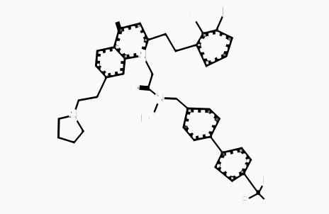 CN(Cc1ccc(-c2ccc(C(F)(F)F)cc2)cc1)C(=O)Cn1c(CCc2cccc(F)c2F)cc(=O)c2ccc(CCN3CCCC3)cc21